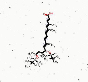 CC(=C\C=C\C(C)=C\[C@H](O[Si](C)(C)C(C)(C)C)[C@@H](C)C[C@@H](C)O[Si](C)(C)C(C)(C)C)/C=C(C)/C=C/C(=O)O